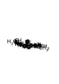 CC1(C)CN=C(c2ccc(-c3ccc4c(ccc5c6ccc(-c7ccc(C8=NCC(C)(C)O8)nc7)cc6n(-c6ccccc6)c45)c3)cn2)O1